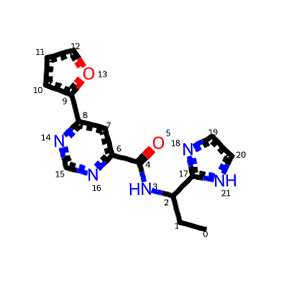 CCC(NC(=O)c1cc(-c2ccco2)ncn1)c1ncc[nH]1